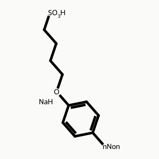 CCCCCCCCCc1ccc(OCCCCS(=O)(=O)O)cc1.[NaH]